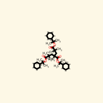 CCC(C)(CC(C)(CC(C)(C)C(=O)OC(C)(C)C1CCCCC1)C(=O)OC(C)(C)C1CCCCC1)C(=O)OC(C)(C)C1CCCCC1